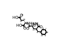 NC(=O)C(Cc1ccccc1)C[C@@H](N)C(=O)N[C@@H](CCC(=O)O)C(=O)O